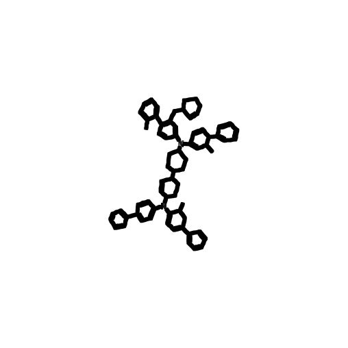 Cc1ccccc1-c1ccc(N(C2=CC(C)C(c3ccccc3)C=C2)C2CCC(C3C=CC(N(C4=CC=C(c5ccccc5)CC4C)c4ccc(-c5ccccc5)cc4)CC3)CC2)cc1CC1C=CCCC1